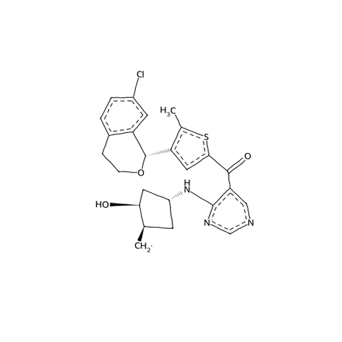 [CH2][C@@H]1C[C@@H](Nc2ncncc2C(=O)c2cc([C@@H]3OCCc4ccc(Cl)cc43)c(C)s2)C[C@@H]1O